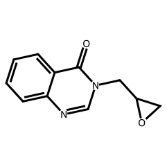 O=c1c2ccccc2ncn1CC1CO1